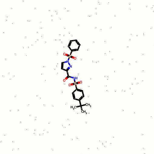 CC(C)(C)c1ccc(S(=O)(=O)NC(=O)c2ccn(S(=O)(=O)c3ccccc3)n2)cc1